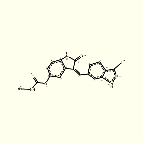 CC(C)(C)NC(=O)Oc1ccc2c(c1)C(=Cc1ccc3c(I)n[nH]c3c1)C(=O)N2